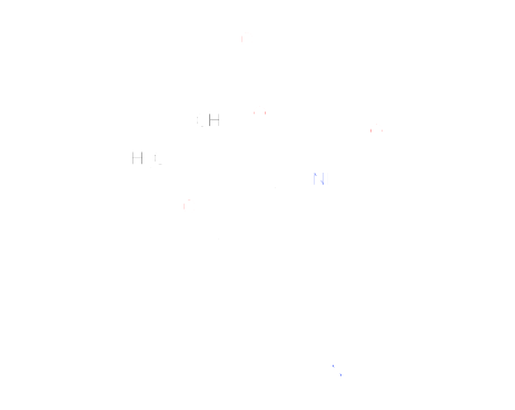 CC1(C)Oc2ccc(C#N)cc2C(NC=O)C1OC=O